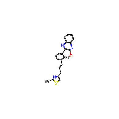 CCOc1nc2ccccc2nc1-c1cccc(/C=C/Cc2csc(C(C)C)n2)c1